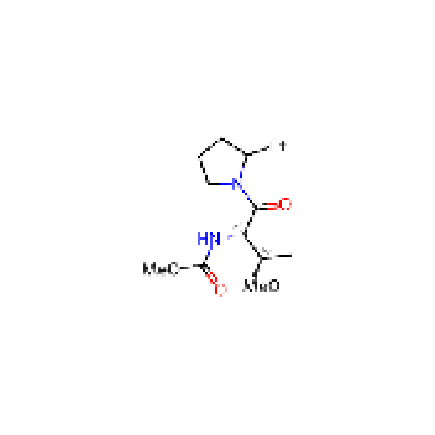 CCC1CCCN1C(=O)[C@@H](NC(=O)OC)[C@@H](C)OC